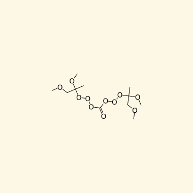 COCC(C)(OC)OOOC(=O)OOOC(C)(COC)OC